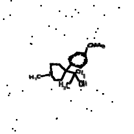 COc1ccc(C2(C(C)(C)O)CCN(C)CC2)cc1